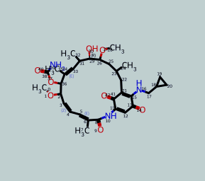 COC1/C=C\C=C(/C)C(=O)NC2=CC(=O)C(NCC3CC3)=C(CC(C)CC(OC)[C@H](O)C(C)/C=C(\C)C1OC(N)=O)C2=O